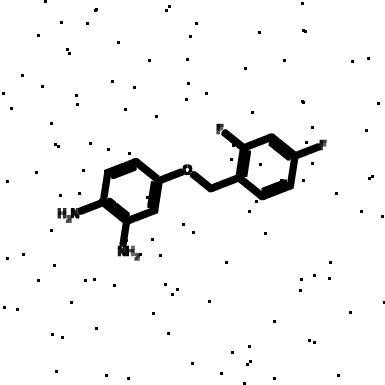 Nc1ccc(OCc2ccc(F)cc2F)cc1N